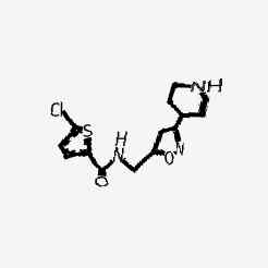 O=C(NCC1CC(C2CCNCC2)=NO1)c1ccc(Cl)s1